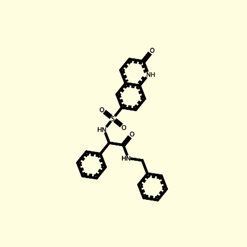 O=C(NCc1ccccc1)C(NS(=O)(=O)c1ccc2[nH]c(=O)ccc2c1)c1ccccc1